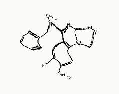 CN(c1ccccc1)c1nc2nncn2c2cc(N)c(F)cc12